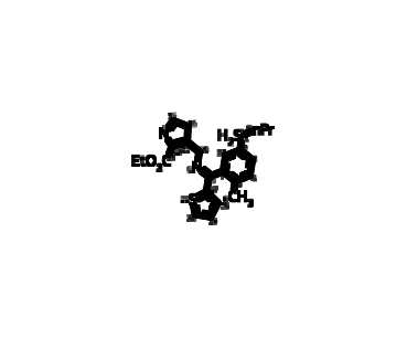 CCC[SiH2]c1ccc(C)c(/C(=N\CC2=C(C(=O)OCC)N=CC2)c2cccs2)c1